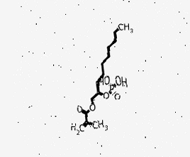 C=C(C)C(=O)OCC(CCCCCCCC)OP(=O)(O)O